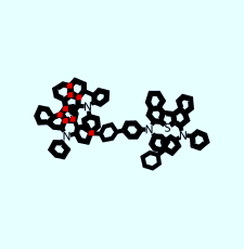 c1ccc(-c2ccccc2N(c2ccccc2)c2cc3ccccc3c3c2sc2c(N(c4ccccc4)c4ccc(C5CCC(c6ccc(N(c7ccccc7)c7cc8ccccc8c8c7sc7c(N(c9ccccc9)c9ccc(C%10CCCCC%10)cc9)cc9ccccc9c78)cc6)CC5)cc4-c4ccccc4)cc4ccccc4c23)cc1